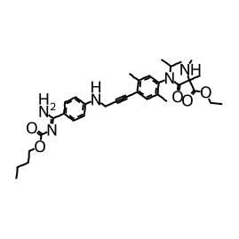 CCCCOC(=O)N=C(N)c1ccc(NCC#Cc2cc(C)c(N(C(=O)C(C)(NC)C(=O)OCC)C(C)C)cc2C)cc1